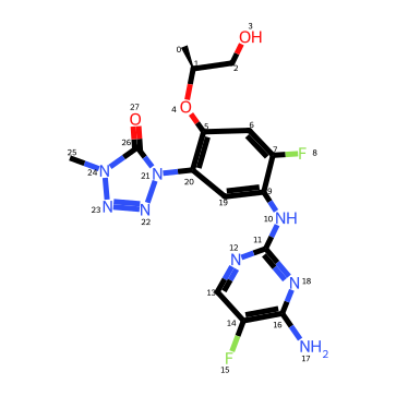 C[C@@H](CO)Oc1cc(F)c(Nc2ncc(F)c(N)n2)cc1-n1nnn(C)c1=O